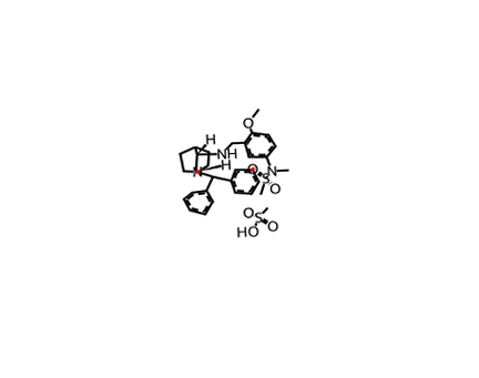 COc1ccc(N(C)S(C)(=O)=O)cc1CN[C@H]1C2CCN(CC2)[C@H]1C(c1ccccc1)c1ccccc1.CS(=O)(=O)O